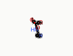 COc1ccc(C(=CC=CC(=O)NCCCc2cccc3ccncc23)c2ccc(OC)cc2)cc1